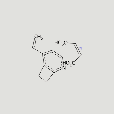 C=Cc1ccnc2c1CC2.O=C(O)/C=C\C(=O)O